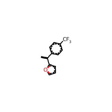 C=C(c1ccc(C(F)(F)F)cc1)c1ccco1